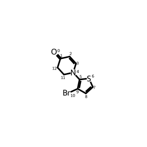 O=C1C=CN(c2sccc2Br)CC1